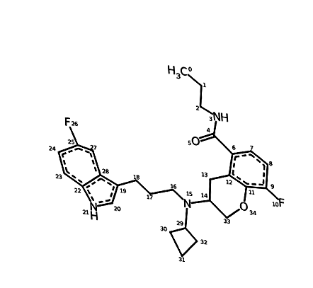 CCCNC(=O)c1ccc(F)c2c1CC(N(CCCc1c[nH]c3ccc(F)cc13)C1CCC1)CO2